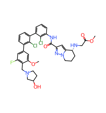 COC(=O)CN[C@@H]1CCCn2nc(C(=O)Nc3cccc(-c4cccc(-c5cc(F)c(CN6CC[C@@H](O)C6)c(OC)c5)c4Cl)c3Cl)cc21